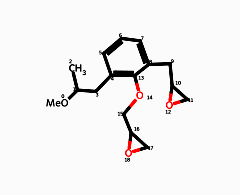 COC(C)Cc1cccc(CC2CO2)c1OCC1CO1